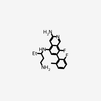 CCC(CCN)Nc1cc(-c2c(C)cccc2F)c(F)c2cnc(N)cc12